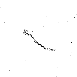 CCCCCCCCCCCCCCCCOCCOCCOS(C)(=O)=O